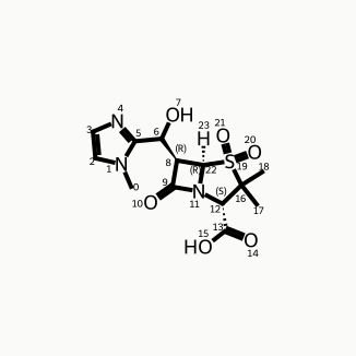 Cn1ccnc1C(O)[C@@H]1C(=O)N2[C@@H](C(=O)O)C(C)(C)S(=O)(=O)[C@H]12